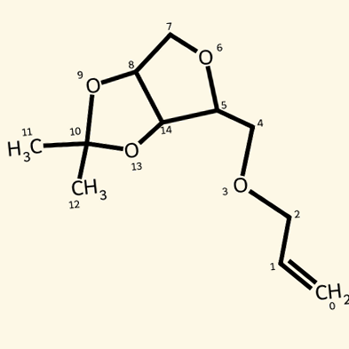 C=CCOCC1OCC2OC(C)(C)OC12